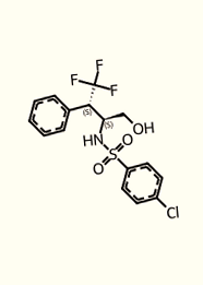 O=S(=O)(N[C@H](CO)[C@H](c1ccccc1)C(F)(F)F)c1ccc(Cl)cc1